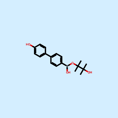 CC(C)(O)C(C)(C)OB(O)c1ccc(-c2ccc(O)cc2)cc1